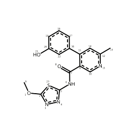 COc1nnc(NC(=O)c2cnc(C)cc2-c2cccc(O)c2)s1